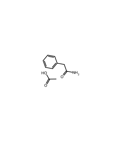 CC(=O)O.NC(=O)Cc1ccccc1